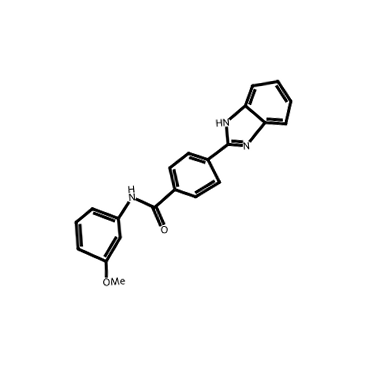 COc1cccc(NC(=O)c2ccc(-c3nc4ccccc4[nH]3)cc2)c1